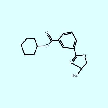 CC(C)(C)C1COC(c2cccc(C(=O)OC3CCCCC3)c2)=N1